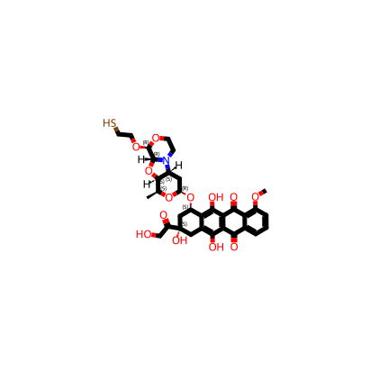 COc1cccc2c1C(=O)c1c(O)c3c(c(O)c1C2=O)C[C@@](O)(C(=O)CO)C[C@@H]3O[C@H]1C[C@H]2[C@H](O[C@@H]3[C@@H](OCCS)OCCN32)[C@H](C)O1